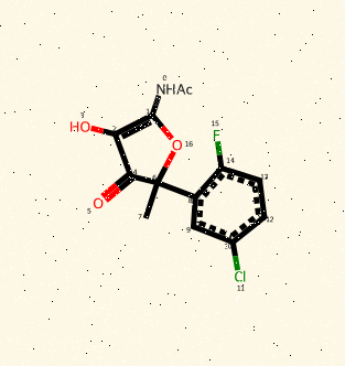 CC(=O)NC1=C(O)C(=O)C(C)(c2cc(Cl)ccc2F)O1